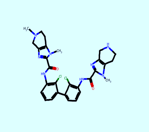 CN1CCc2c(nc(C(=O)Nc3cccc(-c4cccc(NC(=O)c5nc6c(n5C)CCNC6)c4Cl)c3Cl)n2C)C1